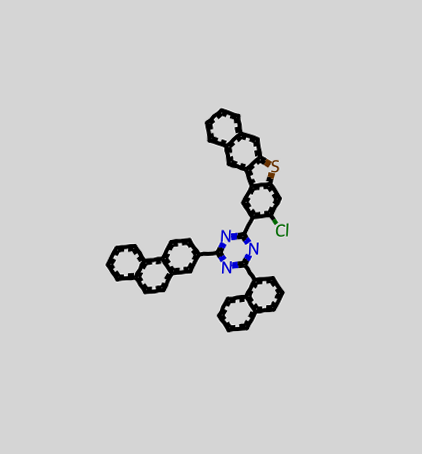 Clc1cc2sc3cc4ccccc4cc3c2cc1-c1nc(-c2ccc3c(ccc4ccccc43)c2)nc(-c2cccc3ccccc23)n1